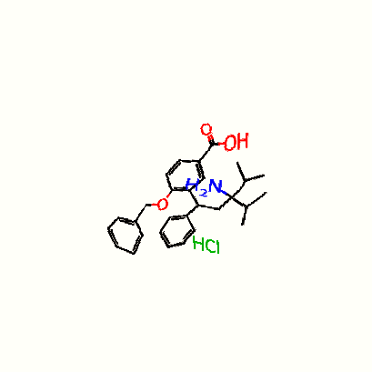 CC(C)C(N)(CC(c1ccccc1)c1cc(C(=O)O)ccc1OCc1ccccc1)C(C)C.Cl